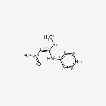 CS/C(=C/[N+](=O)[O-])Nc1ccncc1